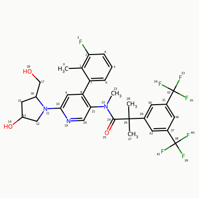 Cc1c(F)cccc1-c1cc(N2CC(O)CC2CO)ncc1N(C)C(=O)C(C)(C)c1cc(C(F)(F)F)cc(C(F)(F)F)c1